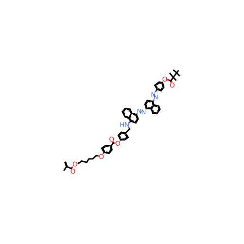 C=C(C)C(=O)OCCCCCCOc1ccc(C(=O)Oc2ccc(CNc3ccc(/N=N/c4ccc(/N=N/c5ccc(OC(=O)C(C)(C)C(C)(C)C)cc5)c5ccccc45)c4ccccc34)cc2)cc1